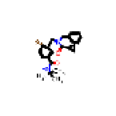 CC(C)(C)NC(=O)c1ccc(Br)c(CN(Cc2ccccc2)C(=O)C2CC2)c1